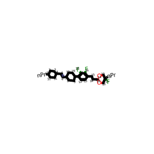 CCCC1CCC(/C=C/C2CCC(c3ccc(CCC4OCC(F)(CCC)CO4)c(F)c3F)CC2)CC1